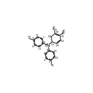 Cc1ccc(N(c2ccc(C)cc2)C2C=CC(F)=C(F)C2)cc1